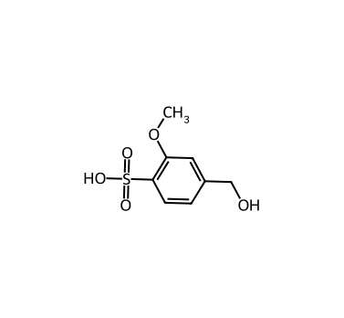 COc1cc(CO)ccc1S(=O)(=O)O